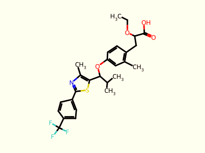 CCOC(Cc1ccc(OC(c2sc(-c3ccc(C(F)(F)F)cc3)nc2C)C(C)C)cc1C)C(=O)O